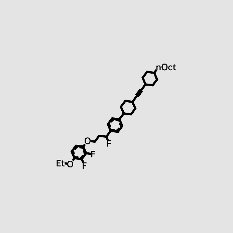 CCCCCCCCC1CCC(C#CC2CCC(c3ccc(C(F)CCOc4ccc(OCC)c(F)c4F)cc3)CC2)CC1